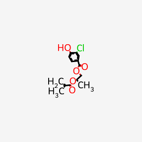 C=C(C)C(=O)OC(C)COC(=O)c1ccc(O)c(Cl)c1